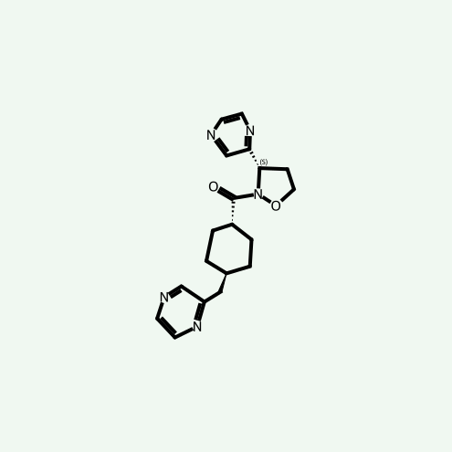 O=C([C@H]1CC[C@H](Cc2cnccn2)CC1)N1OCC[C@H]1c1cnccn1